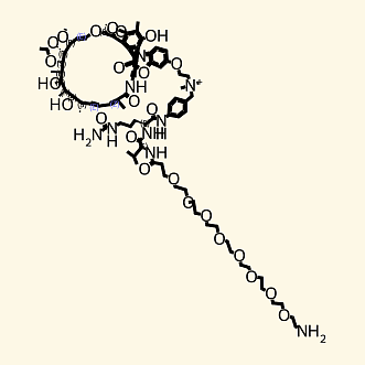 CO[C@H]1/C=C/O[C@@]2(C)Oc3c(C)c(O)c4c(=O)c(c5oc6cc(OCC[N+](C)(C)Cc7ccc(NC(=O)[C@H](CCCNC(N)=O)NC(=O)[C@@H](NC(=O)CCOCCOCCOCCOCCOCCOCCOCCOCCN)C(C)C)cc7)ccc6nc-5c4c3C2=O)NC(=O)/C(C)=C\C=C\[C@H](C)[C@H](O)[C@@H](C)[C@@H](O)[C@@H](C)[C@H](OC(C)=O)[C@@H]1C